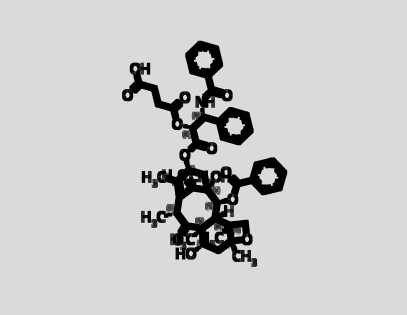 CC1=C2[C@@H](C)C(=O)[C@]3(C)[C@@H](O)C[C@@]4(C)OC[C@@]4(C)[C@H]3[C@H](OC(=O)c3ccccc3)[C@](O)(C[C@@H]1OC(=O)[C@H](OC(=O)CCC(=O)O)[C@H](NC(=O)c1ccccc1)c1ccccc1)C2(C)C